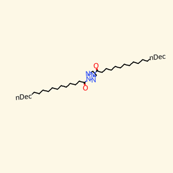 CCCCCCCCCCCCCCCCCCCCCC(=O)N1N2CCN1N2C(=O)CCCCCCCCCCCCCCCCCCCCC